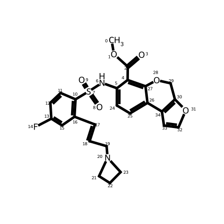 COC(=O)c1c(NS(=O)(=O)c2ccc(F)cc2C=CCN2CCC2)ccc2c1OCc1occc1-2